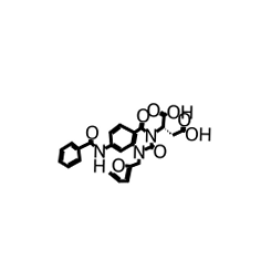 O=C(O)C[C@@H](C(=O)O)n1c(=O)c2ccc(NC(=O)c3ccccc3)cc2n(Cc2ccco2)c1=O